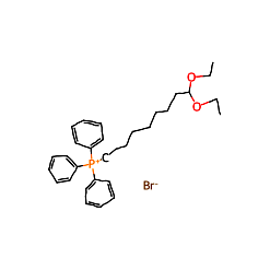 CCOC(CCCCCCCC[P+](c1ccccc1)(c1ccccc1)c1ccccc1)OCC.[Br-]